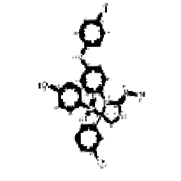 Cc1ccc(S(=O)(=O)[C@@]2(c3cccc(C(F)(F)F)c3)CNC(=NC#N)N2c2ccc(Oc3ccc(Cl)cc3)cc2)cc1